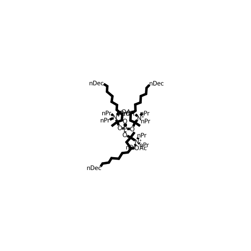 CCCCCCCCCCCCCCCCC(CC(C)(OP(=O)(OC(C)(CC(CCCCCCCCCCCCCCCC)OC(C)=O)[N+](CCC)(CCC)CCC)OC(C)(CC(CCCCCCCCCCCCCCCC)OC(C)=O)[N+](CCC)(CCC)CCC)[N+](CCC)(CCC)CCC)OC(C)=O